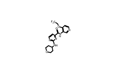 O=C(Nc1cnccc1OCC(F)(F)F)c1ccnc(NC2CCOCC2)n1